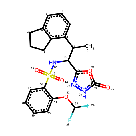 CC(c1cccc2c1CCC2)C(NS(=O)(=O)c1ccccc1OC(F)F)c1n[nH]c(=O)o1